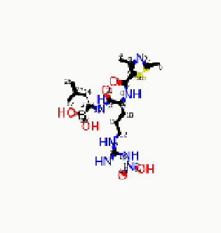 Cc1nc(C)c(C(=O)N[C@@H](CCCNC(=N)N[N+](=O)O)C(=O)N[C@@H](CC(C)C)B(O)O)s1